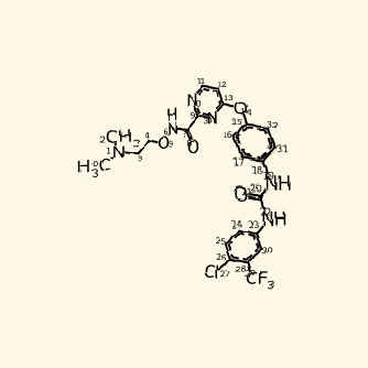 CN(C)CCONC(=O)c1nccc(Oc2ccc(NC(=O)Nc3ccc(Cl)c(C(F)(F)F)c3)cc2)n1